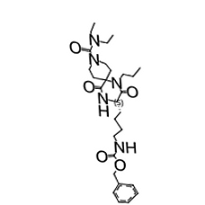 CCCN1C(=O)[C@H](CCCCNC(=O)OCc2ccccc2)NC(=O)C12CCN(C(=O)N(CC)CC)CC2